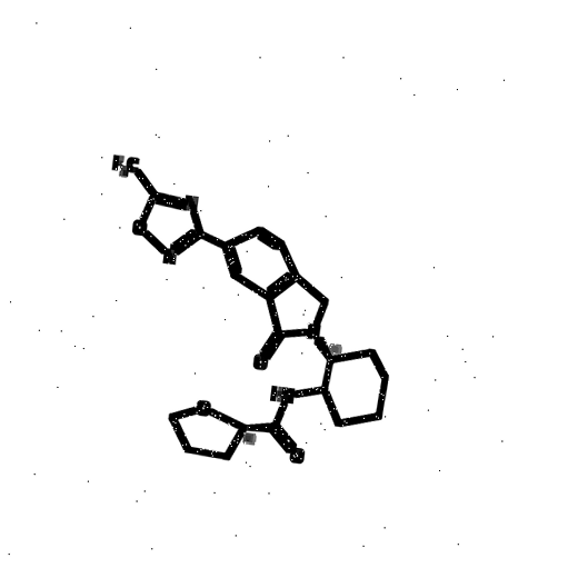 O=C(NC1CCCC[C@@H]1N1Cc2ccc(-c3noc(C(F)(F)F)n3)cc2C1=O)[C@H]1CCCO1